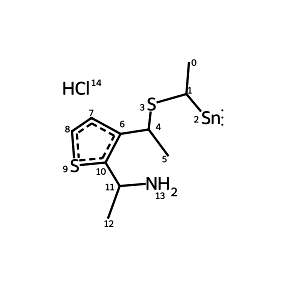 C[CH]([Sn])SC(C)c1ccsc1C(C)N.Cl